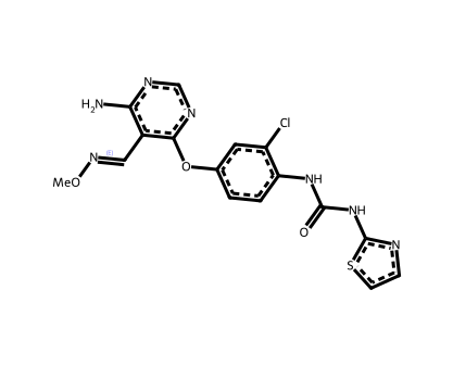 CO/N=C/c1c(N)ncnc1Oc1ccc(NC(=O)Nc2nccs2)c(Cl)c1